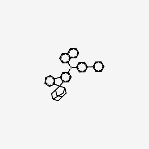 c1ccc(-c2ccc(N(c3ccc4c(c3)-c3ccccc3C43C4CC5CC(C4)CC3C5)c3cccc4ccccc34)cc2)cc1